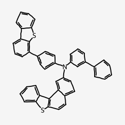 c1ccc(-c2cccc(N(c3ccc(-c4cccc5c4sc4ccccc45)cc3)c3ccc4ccc5sc6ccccc6c5c4c3)c2)cc1